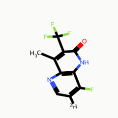 [2H]c1cnc2c(C)c(C(F)(F)F)c(=O)[nH]c2c1F